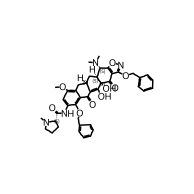 COc1cc(NC(=O)[C@@H]2CCCN2C)c(OCc2ccccc2)c2c1C[C@H]1C[C@H]3[C@H](N(C)C)c4onc(OCc5ccccc5)c4C(=O)[C@@]3(O)C(O)=C1C2=O